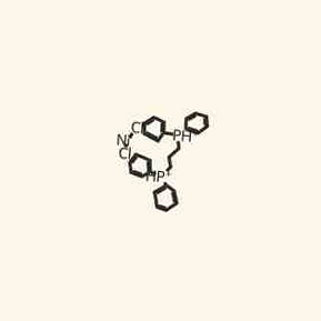 [Cl][Ni][Cl].c1ccc([PH+](CCC[PH+](c2ccccc2)c2ccccc2)c2ccccc2)cc1